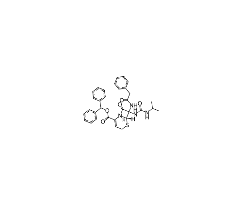 CC(C)NC(=O)NC1(NC(=O)Cc2ccccc2)C(=O)N2C(C(=O)OC(c3ccccc3)c3ccccc3)=CCS[C@H]21